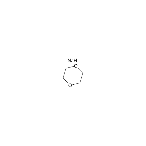 C1COCCO1.[NaH]